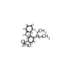 CCN(CC)c1cccc2c1-c1ccccc1[CH]2.[Cl][Zr][Cl]